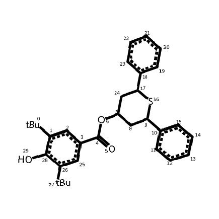 CC(C)(C)c1cc(C(=O)OC2CC(c3ccccc3)SC(c3ccccc3)C2)cc(C(C)(C)C)c1O